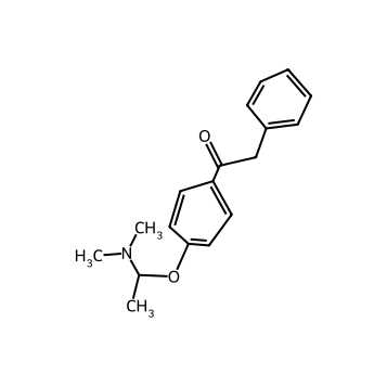 CC(Oc1ccc(C(=O)Cc2ccccc2)cc1)N(C)C